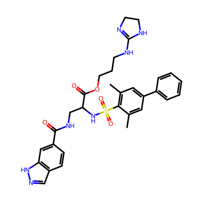 Cc1cc(-c2ccccc2)cc(C)c1S(=O)(=O)NC(CNC(=O)c1ccc2cn[nH]c2c1)C(=O)OCCCNC1=NCCN1